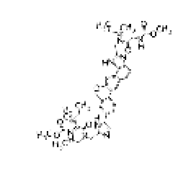 CCCN(Cc1ncc(-c2ccc3c(c2)COc2cc4c(ccc5nc(CN(C(=O)CNC(=O)OC)[C@@H](C)CC)[nH]c54)cc2-3)[nH]1)C(=O)[C@@H](NC(=O)OC)[C@@H](C)CC